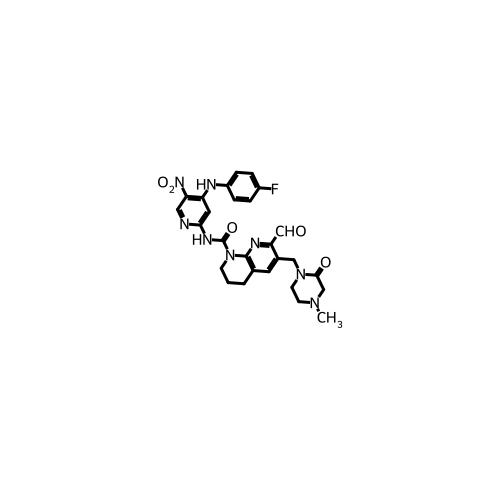 CN1CCN(Cc2cc3c(nc2C=O)N(C(=O)Nc2cc(Nc4ccc(F)cc4)c([N+](=O)[O-])cn2)CCC3)C(=O)C1